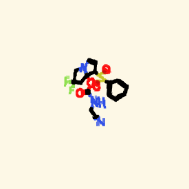 N#CCNC(=O)OC12CC(F)(F)CN1C=CC2S(=O)(=O)c1ccccc1